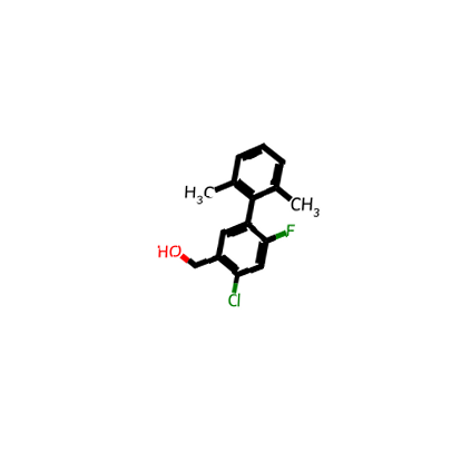 Cc1cccc(C)c1-c1cc(CO)c(Cl)cc1F